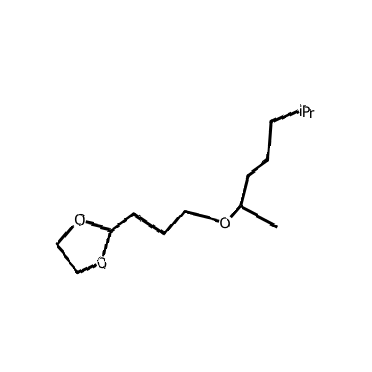 CC(C)CCCC(C)OCCCC1OCCO1